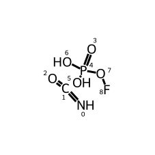 N=C=O.O=P(O)(O)OF